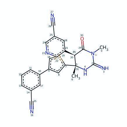 CN1C(=N)N[C@](C)(c2cc(-c3cccc(C#N)c3)cs2)[C@@H](c2cncc(C#N)c2)C1=O